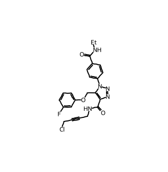 CCNC(=O)c1ccc(-n2nnc(C(=O)NCC#CCCl)c2COc2cccc(F)c2)cc1